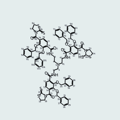 O=C(NCCN(CCNC(=O)c1ccc(C(=O)N2CCSC2=S)c(OCc2ccccc2)c1OCc1ccccc1)CCNC(=O)c1ccc(C(=O)N2CCSC2S)c(OCc2ccccc2)c1OCc1ccccc1)c1ccc(C(=O)N2CCSC2=S)c(OCc2ccccc2)c1OCc1ccccc1